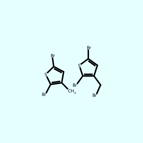 BrCc1cc(Br)sc1Br.Cc1cc(Br)sc1Br